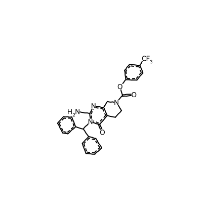 Nc1nc2c(c(=O)n1C(c1ccccc1)c1ccccc1)CCN(C(=O)Oc1ccc(C(F)(F)F)cc1)C2